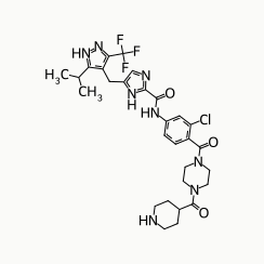 CC(C)c1[nH]nc(C(F)(F)F)c1Cc1cnc(C(=O)Nc2ccc(C(=O)N3CCN(C(=O)C4CCNCC4)CC3)c(Cl)c2)[nH]1